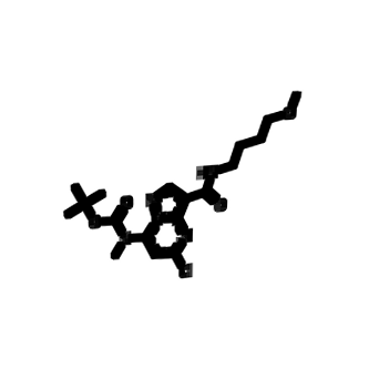 COCCCCNC(=O)c1cnn2c(N(C)C(=O)OC(C)(C)C)cc(Cl)nc12